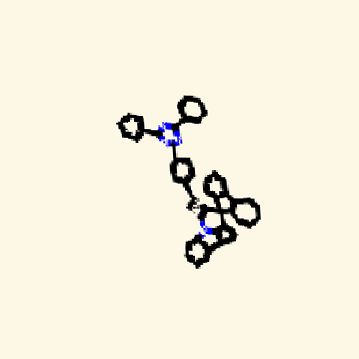 C1=CC2=C(C=CC1)C1(c3ccccc32)c2cc(-c3ccc(-c4nc(C5=CCCC=C5)nc(-c5ccccc5)n4)cc3)ccc2-n2c3ccccc3c3cccc1c32